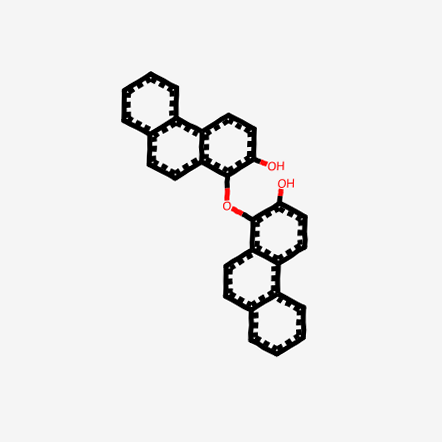 Oc1ccc2c(ccc3ccccc32)c1Oc1c(O)ccc2c1ccc1ccccc12